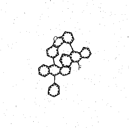 Fc1c2ccccc2c(-c2cccc3oc4ccc(-c5c6ccccc6c(-c6ccccc6)c6ccccc56)cc4c23)c2ccccc12